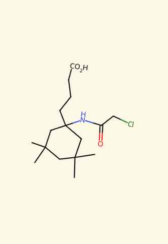 CC1(C)CC(C)(C)CC(CCCC(=O)O)(NC(=O)CCl)C1